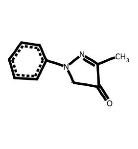 CC1=NN(c2ccccc2)[CH]C1=O